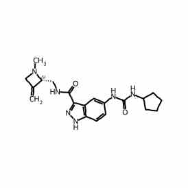 C=C1CN(C)[C@@H]1CNC(=O)c1n[nH]c2ccc(NC(=O)NC3CCCC3)cc12